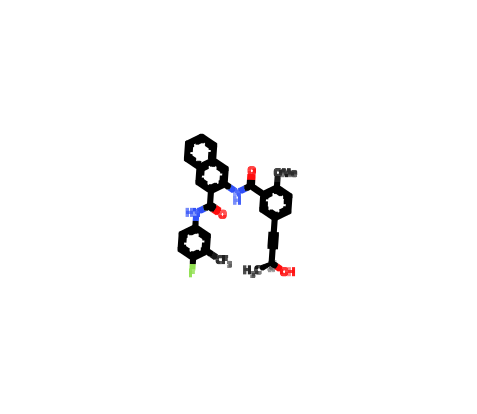 COc1ccc(C#C[C@H](C)O)cc1C(=O)Nc1cc2ccccc2cc1C(=O)Nc1ccc(F)c(C(F)(F)F)c1